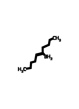 B/C(=C\CCCC)CCCC